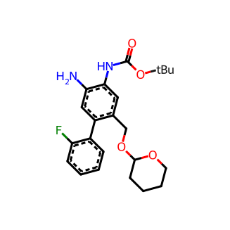 CC(C)(C)OC(=O)Nc1cc(COC2CCCCO2)c(-c2ccccc2F)cc1N